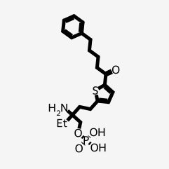 CCC(N)(CCc1ccc(C(=O)CCCCc2ccccc2)s1)COP(=O)(O)O